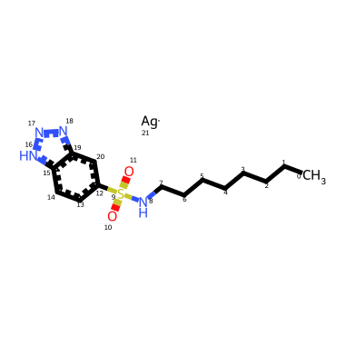 CCCCCCCCNS(=O)(=O)c1ccc2[nH]nnc2c1.[Ag]